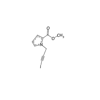 COC(=O)c1cccn1CC#CI